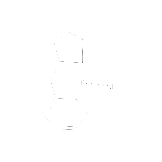 NNc1ccccc1CC1CCCC1